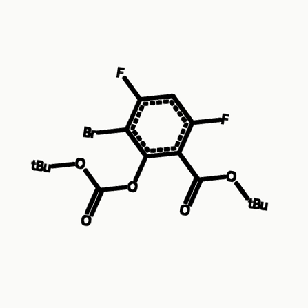 CC(C)(C)OC(=O)Oc1c(Br)c(F)cc(F)c1C(=O)OC(C)(C)C